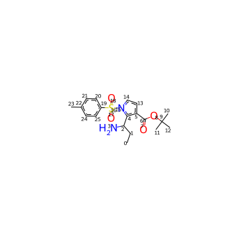 CCC(N)c1c(C(=O)OC(C)(C)C)ccn1S(=O)(=O)c1ccc(C)cc1